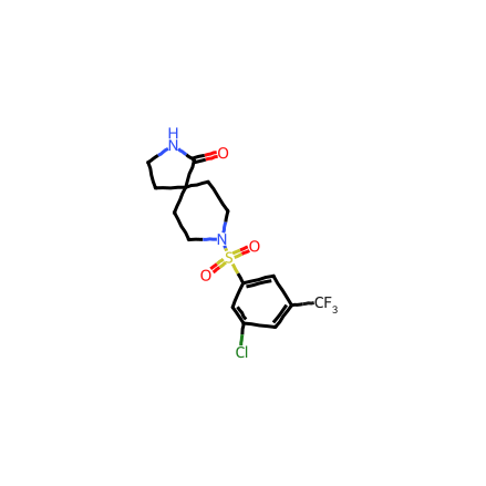 O=C1NCCC12CCN(S(=O)(=O)c1cc(Cl)cc(C(F)(F)F)c1)CC2